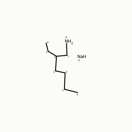 CCCCC(CC)CN.[NaH]